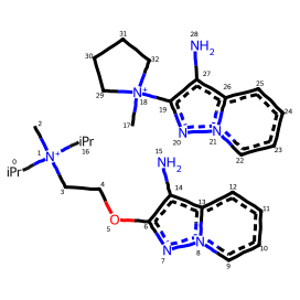 CC(C)[N+](C)(CCOc1nn2ccccc2c1N)C(C)C.C[N+]1(c2nn3ccccc3c2N)CCCC1